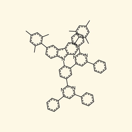 Cc1cc(C)c(-c2ccc3c(c2)c2cc(-c4c(C)cc(C)cc4C)ccc2n3-c2ccc(-c3nc(-c4ccccc4)cc(-c4ccccc4)n3)cc2-c2cc(-c3ccccc3)nc(-c3ccccc3)n2)c(C)c1